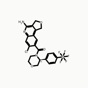 Nc1nc2cc(Cl)c(C(=O)N3CCOC[C@@H]3c3ccc(S(F)(F)(F)(F)F)cc3)cc2c2c1COC2